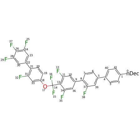 CCCCCCCCCCc1ccc(-c2ccc(-c3cc(F)c(C(F)(F)Oc4ccc(-c5cc(F)c(F)c(F)c5)c(F)c4)c(F)c3)c(F)c2)cc1